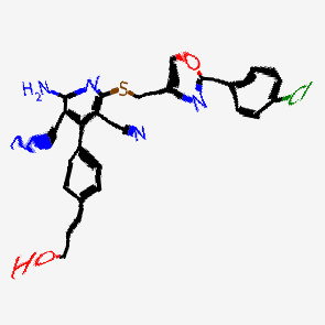 N#Cc1c(N)nc(SCc2coc(-c3ccc(Cl)cc3)n2)c(C#N)c1-c1ccc(CCCO)cc1